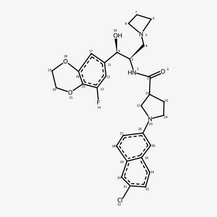 O=C(N[C@H](CN1CCC1)[C@H](O)c1cc(F)c2c(c1)OCCO2)C1CCN(c2ccc3cc(Cl)ccc3c2)C1